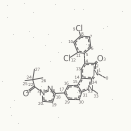 Cn1c(=O)c(-c2ccc(Cl)cc2Cl)cc2c3cc(-c4ccn(C(=O)C(C)(C)C)n4)ccc3n(C)c21